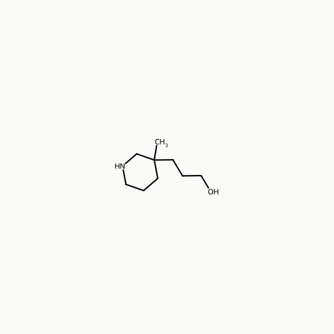 CC1(CCCO)CCCNC1